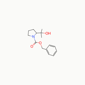 CC(C)(O)C1CCCN1C(=O)OCc1ccccc1